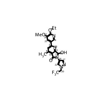 CCOc1ncc(-c2cc(C)c3c(n2)C(O)N(c2cnn(CC(F)(F)F)c2)C3=O)cc1OC